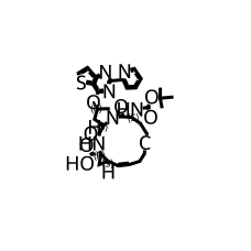 CC(C)(C)OC(=O)N[C@H]1CCCCCC=C[C@@H]2C[C@@]2(C(=O)O)NC(=O)[C@@H]2C[C@@H](Oc3nc(-c4ccccn4)nc4ccsc34)CN2C1=O